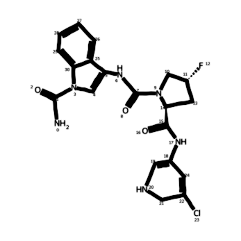 NC(=O)n1cc(NC(=O)N2C[C@H](F)C[C@H]2C(=O)NC2=CNCC(Cl)=C2)c2ccccc21